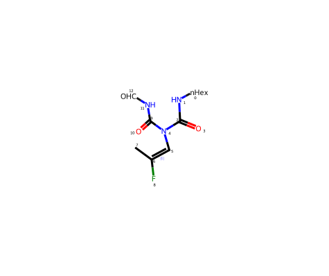 CCCCCCNC(=O)N(/C=C(\C)F)C(=O)NC=O